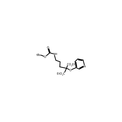 CCOC(=O)C(CCCNC(=O)OC(C)(C)C)(Oc1cccnc1)C(=O)OCC